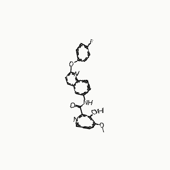 COc1ccnc(C(=O)Nc2ccc3nc(Oc4ccc(F)cc4)ccc3c2)c1O